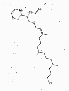 CC(=CCSCC(NC=N)C1=COC=CN1)CCCC(C)CCCC(C)CCCC(C)C